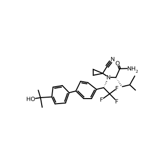 CC(C)C[C@@H](C(N)=O)N([C@@H](c1ccc(-c2ccc(C(C)(C)O)cc2)cc1)C(F)(F)F)C1(C#N)CC1